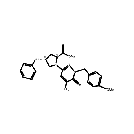 COC(=O)[C@@H]1C[C@@H](Oc2ccccc2)CN1c1cc(C(F)(F)F)c(=O)n(Cc2ccc(OC)cc2)n1